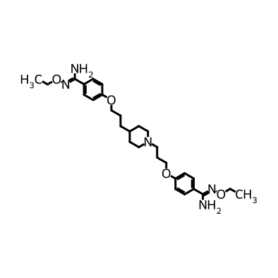 CCON=C(N)c1ccc(OCCCC2CCN(CCCOc3ccc(C(N)=NOCC)cc3)CC2)cc1